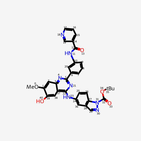 COc1cc2nc(-c3cccc(NC(=O)c4cccnc4)c3)nc(Nc3ccc4c(cnn4C(=O)OC(C)(C)C)c3)c2cc1O